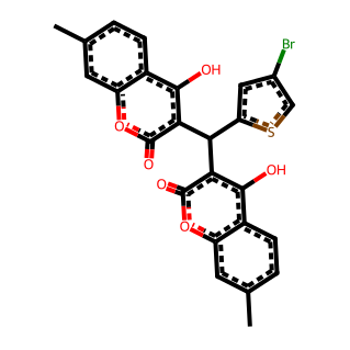 Cc1ccc2c(O)c(C(c3cc(Br)cs3)c3c(O)c4ccc(C)cc4oc3=O)c(=O)oc2c1